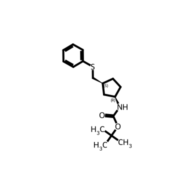 CC(C)(C)OC(=O)N[C@@H]1CC[C@H](CSc2ccccc2)C1